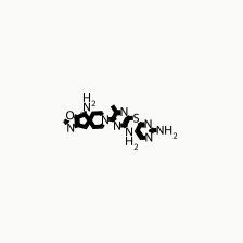 Cc1nc(Sc2ccnc(N)n2)c(N)nc1N1CCC2(CC1)Cc1ncoc1[C@H]2N